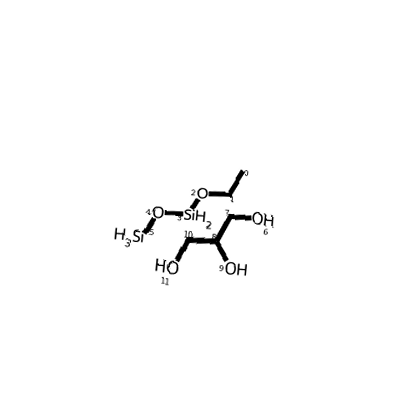 CCO[SiH2]O[SiH3].OCC(O)CO